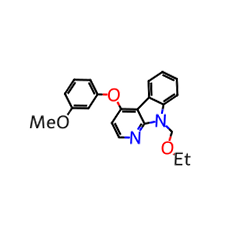 CCOCn1c2ccccc2c2c(Oc3cccc(OC)c3)ccnc21